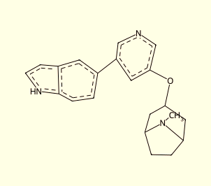 CN1C2CCC1CC(Oc1cncc(-c3ccc4[nH]ccc4c3)c1)C2